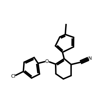 Cc1ccc(C2=C(Oc3ccc(Cl)cc3)CCCC2C#N)cc1